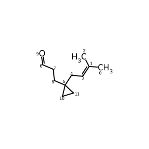 CC(C)=CCC1(CCC=O)CC1